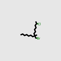 CCCCCCCC(C)(CBr)CCCCCC(C)Cl